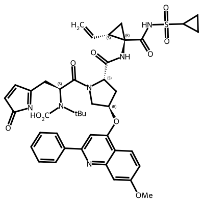 C=C[C@@H]1C[C@]1(NC(=O)[C@@H]1C[C@@H](Oc2cc(-c3ccccc3)nc3cc(OC)ccc23)CN1C(=O)[C@H](CC1=NC(=O)C=C1)N(C(=O)O)C(C)(C)C)C(=O)NS(=O)(=O)C1CC1